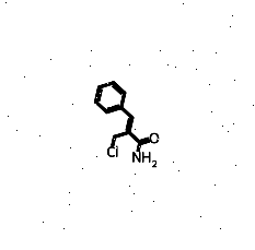 NC(=O)C(=Cc1ccccc1)CCl